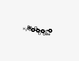 COc1cc(-c2cc(Cl)c(-c3ccc(OS(C)(=O)=O)cc3)cc2Cl)ccc1OCc1ccccc1